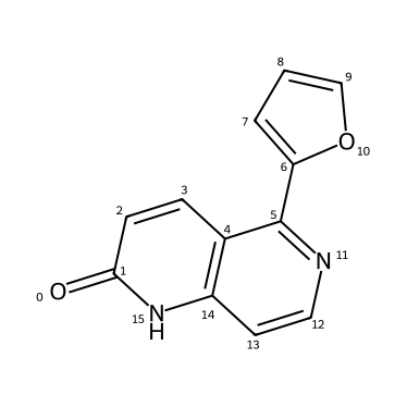 O=c1ccc2c(-c3ccco3)nccc2[nH]1